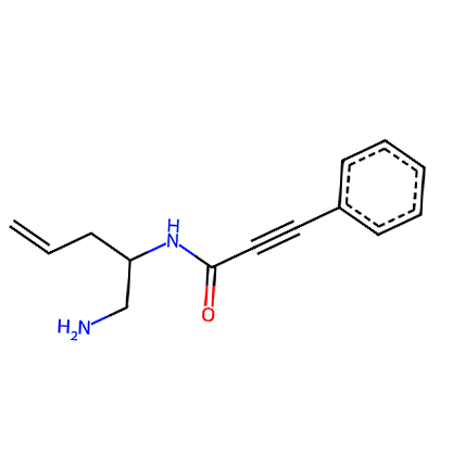 C=CCC(CN)NC(=O)C#Cc1ccccc1